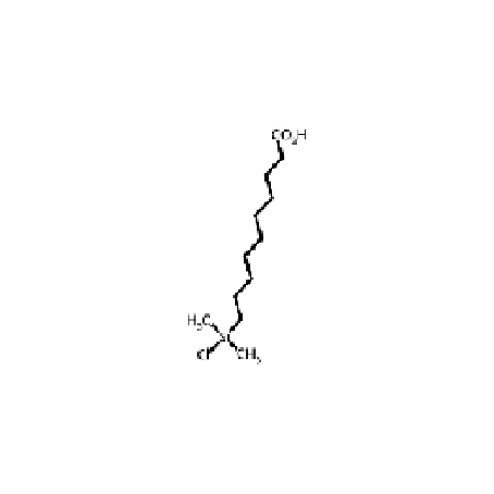 C[Si](C)(Cl)CCCCCCCCCC(=O)O